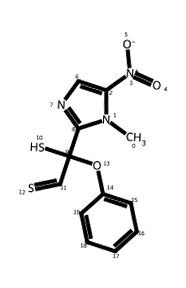 Cn1c([N+](=O)[O-])cnc1C(S)(C=S)Oc1ccccc1